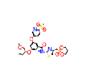 CCC(COC)Oc1cc(Oc2ccc(S(C)(=O)=O)nc2)cc(C(=O)Nc2nc(CP3(=O)OCCCO3)cs2)c1